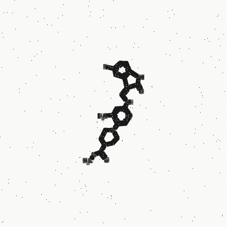 COC(=O)C1CCN(c2ccc(N/C=C3\C(=O)Nc4ccc(F)cc43)cc2C)CC1